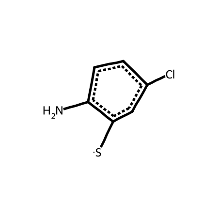 Nc1ccc(Cl)cc1[S]